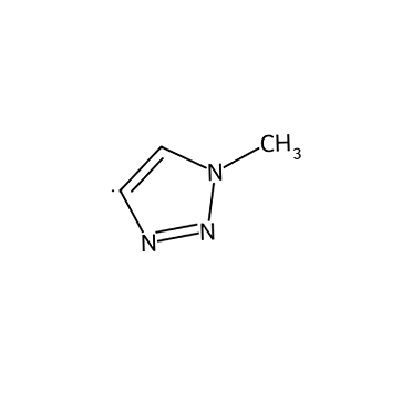 Cn1c[c]nn1